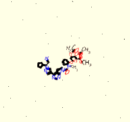 COC(=O)[C@H]1O[C@@H](Oc2ccccc2N(C)C(=O)n2ccc3c(-c4cnn([C@H](CC#N)C5CCCC5)c4)ncnc32)C[C@@H](OC(C)=O)[C@@H]1OC(C)=O